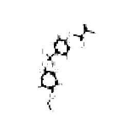 C=C(C)C(=O)Oc1ccc(C(F)(F)Oc2ccc(OCC)cc2)cc1